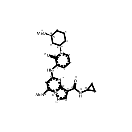 CNc1cc(Nc2cccn([C@@H]3CCC[C@H](OC)C3)c2=O)nc2c(C(=O)NC3CC3)cnn12